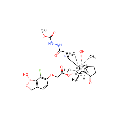 C[C@@H]1CC[C@@]23CCC(=O)[C@H]2[C@]1(C)[C@H](OC(=O)COc1ccc2c(c1F)B(O)OC2)C[C@@](C)(/C=C/C(=O)NNC(=O)OC(C)(C)C)[C@@H](O)[C@@H]3C